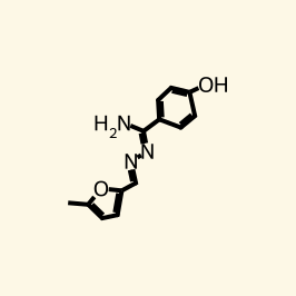 Cc1ccc(C=NN=C(N)c2ccc(O)cc2)o1